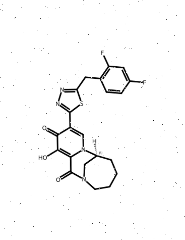 O=C1c2c(O)c(=O)c(-c3nnc(Cc4ccc(F)cc4F)s3)cn2[C@H]2CCCCN1C2